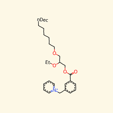 CCCCCCCCCCCCCCCCOCC(COC(=O)c1cccc(C[n+]2ccccc2)c1)OCC